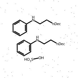 CCCCCCCCCCCCNc1ccccc1.CCCCCCCCCCCCNc1ccccc1.O=S(=O)(O)O